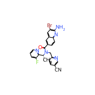 C[C@H](c1ncccc1F)N(Cc1ccc(C#N)cn1)C(=O)c1ccc2nc(N)c(Br)cc2c1